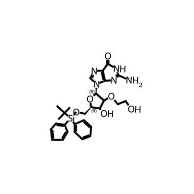 CC(C)(C)[Si](OC[C@H]1O[C@@H](n2cnc3c(=O)[nH]c(N)nc32)C(OCCO)C1O)(c1ccccc1)c1ccccc1